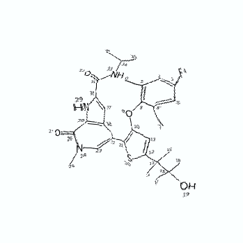 Cc1cc(F)cc(C)c1Oc1cc(C(C)(C)C(C)(C)O)sc1-c1cn(C)c(=O)c2[nH]c(C(=O)NC(C)C)cc12